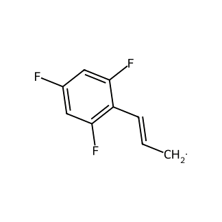 [CH2]C=Cc1c(F)cc(F)cc1F